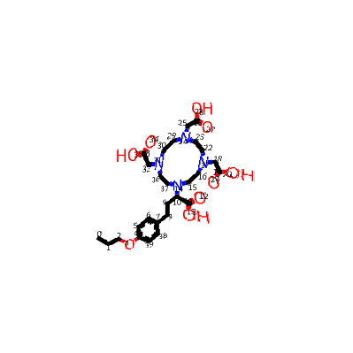 CCCOc1ccc(CCC(C(=O)O)N2CCN(CC(=O)O)CCN(CC(=O)O)CCN(CC(=O)O)CC2)cc1